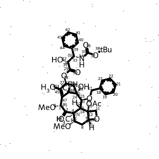 CO[C@H]1C(=O)[C@]2(C)[C@@H](OC)C[C@H]3OC[C@@]3(OC(C)=O)[C@H]2[C@H](OCc2ccccc2)[C@]2(O)C[C@H](OC(=O)[C@H](O)[C@@H](NC(=O)OC(C)(C)C)c3ccccc3)C(C)=C1C2(C)C